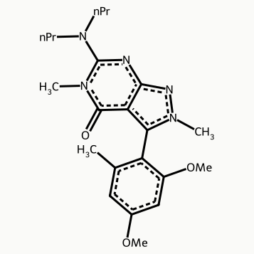 CCCN(CCC)c1nc2nn(C)c(-c3c(C)cc(OC)cc3OC)c2c(=O)n1C